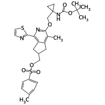 Cc1ccc(S(=O)(=O)OCC2Cc3c(-c4nccs4)nc(OCC4(NC(=O)OC(C)(C)C)CC4)c(C)c3C2)cc1